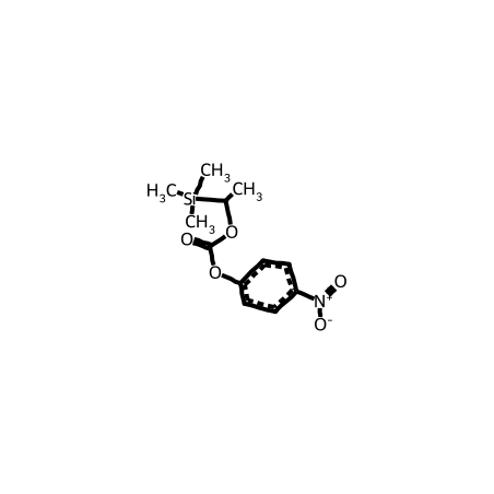 CC(OC(=O)Oc1ccc([N+](=O)[O-])cc1)[Si](C)(C)C